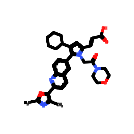 Cc1nc(C)c(-c2ccc3cc(-c4c(C5CCCCC5)cc(/C=C/C(=O)O)n4CC(=O)N4CCOCC4)ccc3n2)o1